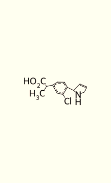 CC(C(=O)O)c1ccc(C2C=CCN2)c(Cl)c1